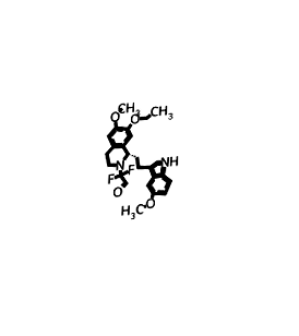 CCOc1cc2c(cc1OC)CCN(C(F)(F)C=O)[C@H]2CCc1c[nH]c2ccc(OC)cc12